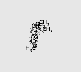 CCCCC(CC)COC(=O)C(=Cc1ccc(OC)cc1)CC(CC)CCCC